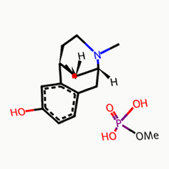 CN1CC[C@]23CCCC[C@H]2[C@H]1Cc1ccc(O)cc13.COP(=O)(O)O